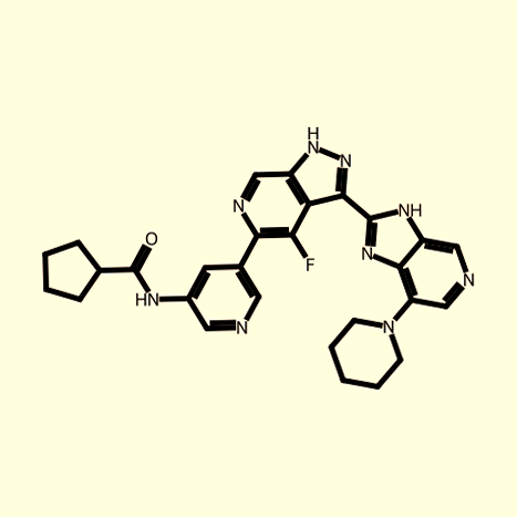 O=C(Nc1cncc(-c2ncc3[nH]nc(-c4nc5c(N6CCCCC6)cncc5[nH]4)c3c2F)c1)C1CCCC1